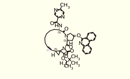 CCOC(=O)[C@@]12C[C@H]1/C=C\CCCCC[C@H](NC(=O)c1cnc(C)cn1)C(=O)N1C[C@H](Oc3nc4ccccc4c4ccccc34)C[C@H]1C(=O)N2C(=O)OC(C)(C)C